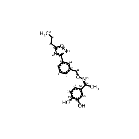 CCCc1nc(-c2cccc(CON=C(C)c3ccc(O)c(O)c3)c2)no1